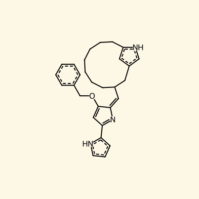 C(=C1N=C(c2ccc[nH]2)C=C1OCc1ccccc1)C1CCCCCCCc2cc(c[nH]2)C1